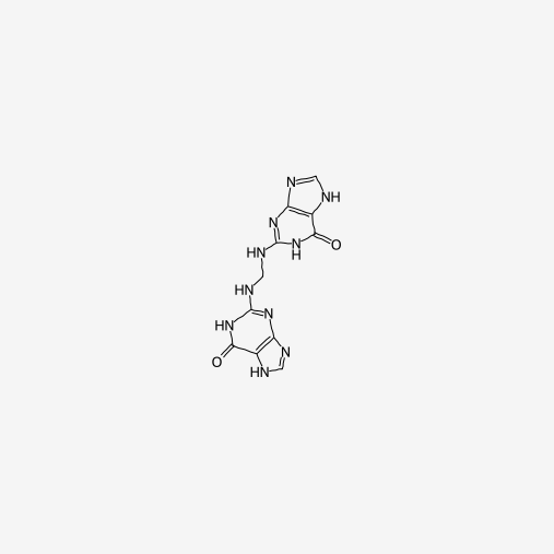 O=c1[nH]c(NCNc2nc3nc[nH]c3c(=O)[nH]2)nc2nc[nH]c12